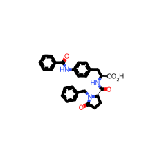 O=C(Nc1ccc(C[C@H](NC(=O)[C@@H]2CCC(=O)N2Cc2ccccc2)C(=O)O)cc1)c1ccccc1